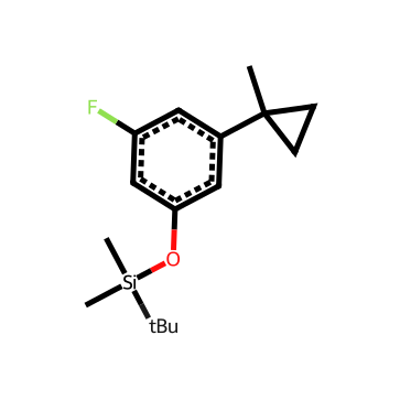 CC1(c2cc(F)cc(O[Si](C)(C)C(C)(C)C)c2)CC1